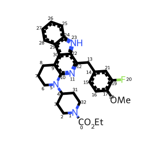 CCOC(=O)N1CCC(N2CCCc3c2nc(Cc2ccc(OC)c(F)c2)c2[nH]c4ccccc4c32)CC1